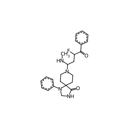 CNC(CC(F)C(=O)c1ccccc1)N1CCC2(CC1)C(=O)NCN2c1ccccc1